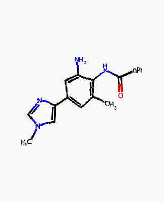 CCCC(=O)Nc1c(C)cc(-c2cn(C)cn2)cc1N